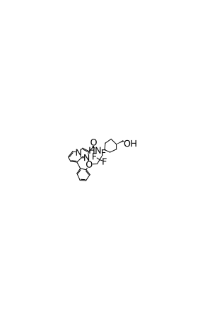 O=C(N[C@H]1CC[C@H](CO)CC1)c1cn2cccc(-c3ccccc3OCC(F)(F)F)c2n1